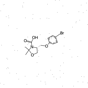 CC1(C)OC[C@@H](COc2ccc(Br)cc2)N1C(=O)O